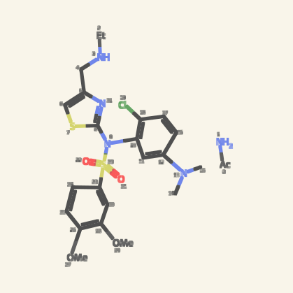 CC(N)=O.CCNCc1csc(N(c2cc(N(C)C)ccc2Cl)S(=O)(=O)c2ccc(OC)c(OC)c2)n1